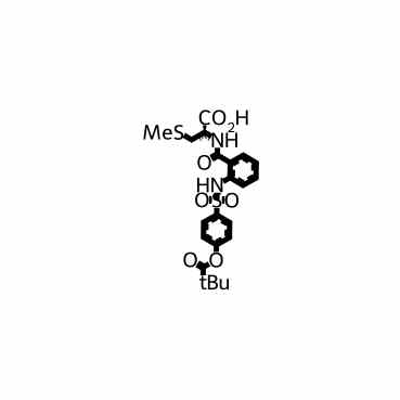 CSC[C@H](NC(=O)c1ccccc1NS(=O)(=O)c1ccc(OC(=O)C(C)(C)C)cc1)C(=O)O